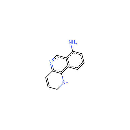 Nc1cccc2c3c(ncc12)C=CCN3